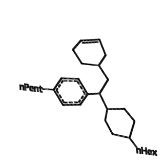 CCCCCCC1CCC(C(CC2CC=CCC2)c2ccc(CCCCC)cc2)CC1